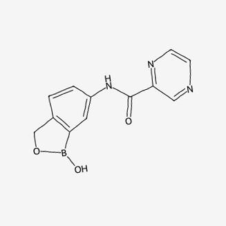 O=C(Nc1ccc2c(c1)B(O)OC2)c1cnccn1